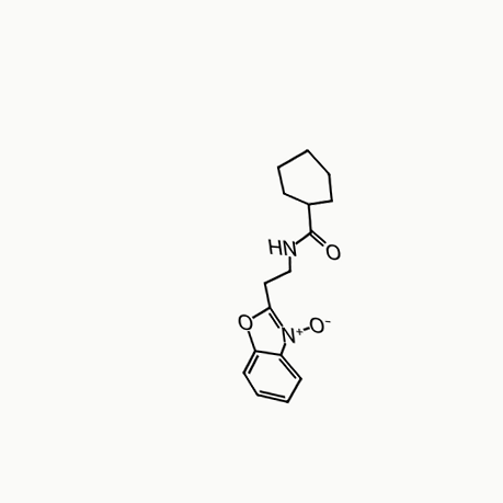 O=C(NCCc1oc2ccccc2[n+]1[O-])C1CCCCC1